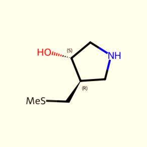 CSC[C@@H]1CNC[C@H]1O